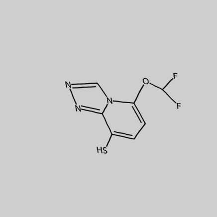 FC(F)Oc1ccc(S)c2nncn12